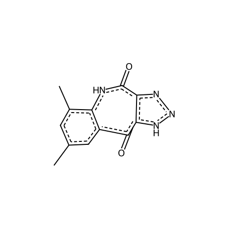 Cc1cc(C)c2[nH]c(=O)c3nn[nH]c3c(=O)c2c1